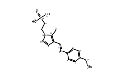 CCCCOc1ccc(/N=N/c2cnn(CCP(=O)(O)O)c2C)cc1